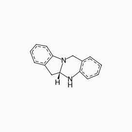 c1ccc2c(c1)CN1c3ccccc3C[C@H]1N2